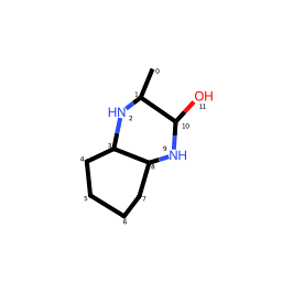 CC1NC2CCCCC2NC1O